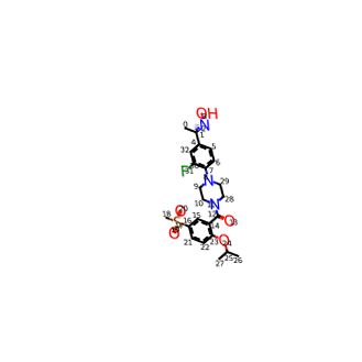 C/C(=N\O)c1ccc(N2CCN(C(=O)c3cc(S(C)(=O)=O)ccc3OC(C)C)CC2)c(F)c1